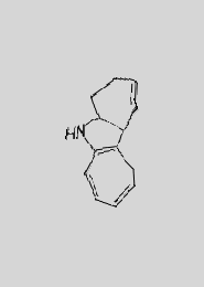 C1=CCC2=C(C=C1)NC1CCC=CC21